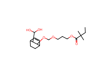 CCC(C)(C)C(=O)OCCCOCOC1C2C=CC(CC2)C1C(O)O